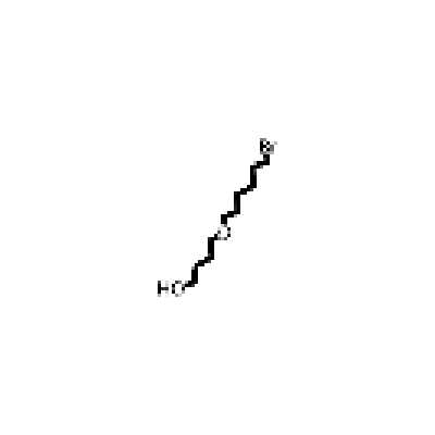 OCCCCOCCCCCCBr